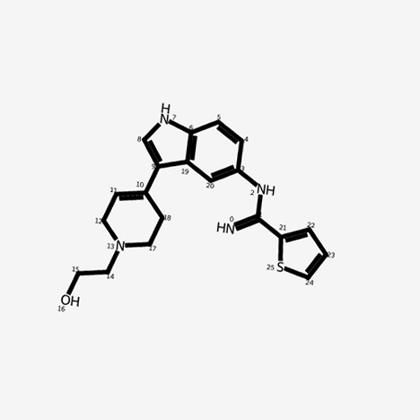 N=C(Nc1ccc2[nH]cc(C3=CCN(CCO)CC3)c2c1)c1cccs1